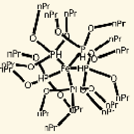 CCCO[PH](OCCC)(OCCC)[Fe]([PH](OCCC)(OCCC)OCCC)([PH](OCCC)(OCCC)OCCC)([PH](OCCC)(OCCC)OCCC)[PH](OCCC)(OCCC)OCCC